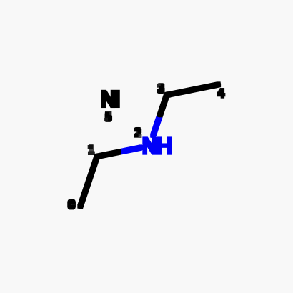 CCNCC.[Ni]